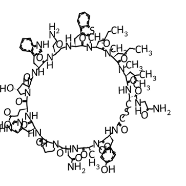 CCCC[C@H]1C(=O)N(C)[C@@H](CCCC)C(=O)N(C)[C@@H](CC(C)C)C(=O)N[C@H](C(=O)NCC(N)=O)CSCC(=O)N[C@@H](Cc2ccc(O)cc2)C(=O)N(C)[C@@H](C)C(=O)N[C@@H](CC(N)=O)C(=O)N2CCC[C@H]2C(=O)N[C@@H](Cc2c[nH]cn2)C(=O)N[C@@H](CCC(=O)O)C(=O)N2C[C@H](O)C[C@H]2C(=O)N[C@@H](Cc2c[nH]c3ccccc23)C(=O)N[C@@H](CCN)C(=O)N[C@@H](Cc2csc3ccccc23)C(=O)N1C